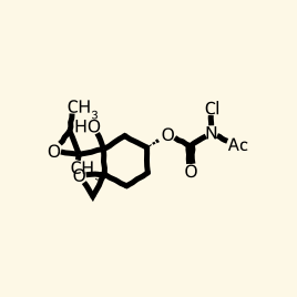 CC(=O)N(Cl)C(=O)O[C@@H]1CCC2(CO2)C(O)(C2(C)OC2C)C1